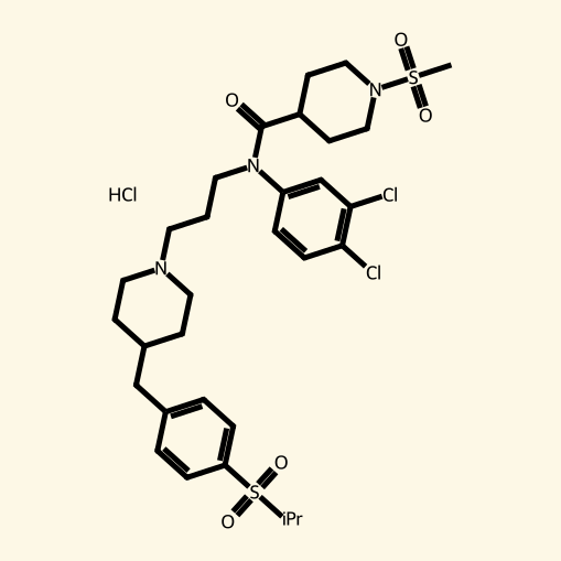 CC(C)S(=O)(=O)c1ccc(CC2CCN(CCCN(C(=O)C3CCN(S(C)(=O)=O)CC3)c3ccc(Cl)c(Cl)c3)CC2)cc1.Cl